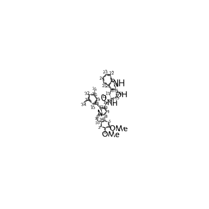 COc1cc2c(cc1OC)-c1cc(C(=O)NC(CO)Cc3c[nH]c4ccccc34)c(-c3cc(C)cc(C)c3)n1CC2